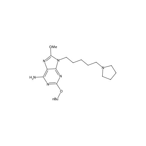 CCCCOc1nc(N)c2nc(OC)n(CCCCCN3CCCC3)c2n1